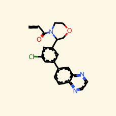 C=CC(=O)N1CCOCC1c1cc(Cl)cc(-c2ccc3nccnc3c2)c1